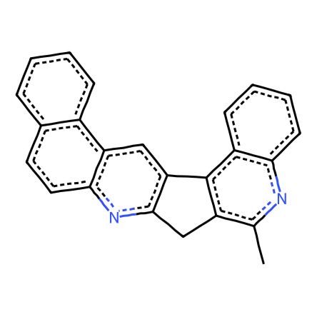 Cc1nc2ccccc2c2c1Cc1nc3ccc4ccccc4c3cc1-2